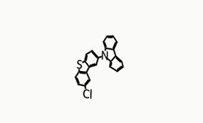 Clc1ccc2sc3ccc(-n4c5ccccc5c5ccccc54)cc3c2c1